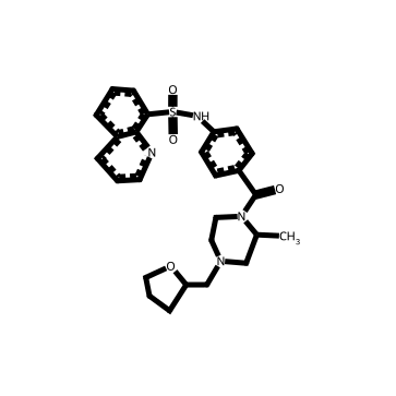 CC1CN(CC2CCCO2)CCN1C(=O)c1ccc(NS(=O)(=O)c2cccc3cccnc23)cc1